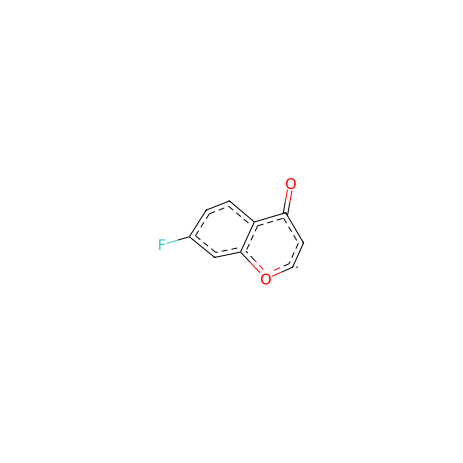 O=c1c[c]oc2cc(F)ccc12